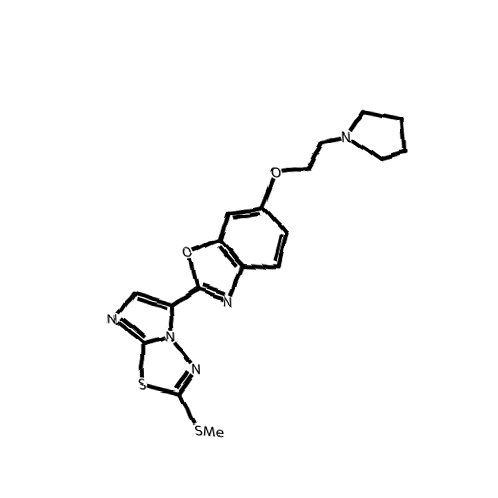 CSc1nn2c(-c3nc4ccc(OCCN5CCCC5)cc4o3)cnc2s1